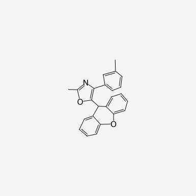 Cc1cccc(-c2nc(C)oc2C2c3ccccc3Oc3ccccc32)c1